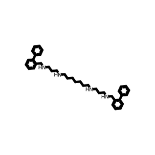 c1ccc(-c2ccccc2CNCCCNCCCCCCCNCCCNCc2ccccc2-c2ccccc2)cc1